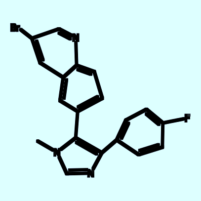 Cn1cnc(-c2ccc(F)cc2)c1-c1ccc2ncc(Br)cc2c1